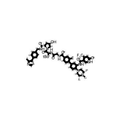 Cc1ncsc1-c1ccc(CNC(=O)[C@@H]2C[C@@H](O)CN2C(=O)C(NC(=O)CNC(=O)c2ccc(-c3ccc(N4C[C@@H](C)N(C)[C@@H](C)C4)c(NC(=O)c4c[nH]c(=O)cc4C(F)(F)F)c3)c(F)c2)C(C)(C)C)cc1